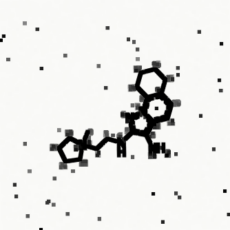 C[N+]1(CCNc2nn3c4c(ccc3c2N)CCCC4)CCCC1